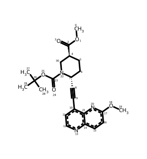 COC(=O)[C@H]1CC[C@H](C#Cc2ccnc3ccc(OC)nc23)N(C(=O)OC(C)(C)C)C1